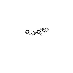 Clc1cc(N2CCC(Cc3ccccc3)CC2)ccc1-c1nc2ccccc2[nH]1